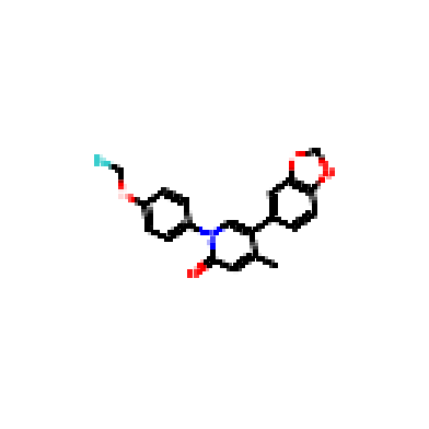 Cc1cc(=O)n(-c2ccc(OCF)cc2)cc1-c1ccc2c(c1)OCO2